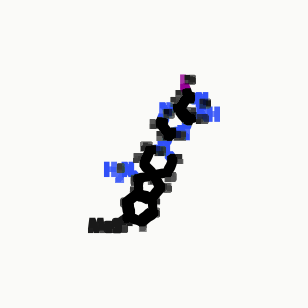 CSc1ccc2c(c1)[C@@H](N)C1(CCN(c3cnc4c(I)n[nH]c4n3)CC1)C2